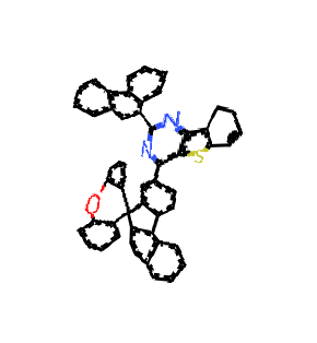 C1=Cc2sc3c(-c4ccc5c(c4)C4(c6ccccc6Oc6ccccc64)c4ccc6ccccc6c4-5)nc(-c4cc5ccccc5c5ccccc45)nc3c2CC1